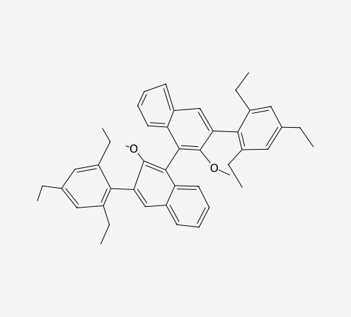 CCc1cc(CC)c(-c2cc3ccccc3c(-c3c(OC)c(-c4c(CC)cc(CC)cc4CC)cc4ccccc34)c2OC)c(CC)c1